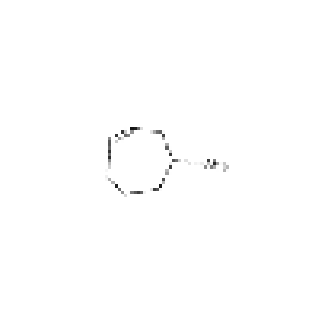 COC1CC=CCCC1